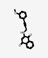 COc1cccc(C#CCNC2=CC(=O)c3ccccc3C2=O)c1